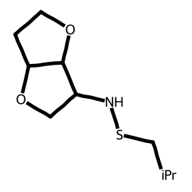 CC(C)CSNC1COC2CCOC12